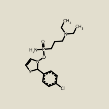 CCN(CC)CCCP(N)(=O)ON1C=CSC1c1ccc(Cl)cc1